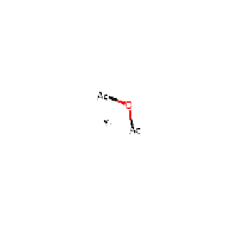 CC(=O)OC(C)=O.[Y]